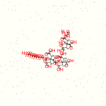 O.O.O.O.O.O.O.O.O.O.O=C(O)CC(O)(CC(=O)O)C(=O)O.O=C(O)CC(O)(CC(=O)O)C(=O)O.O=C(O)CC(O)(CC(=O)O)C(=O)O